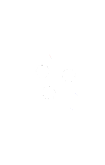 CC(=O)c1cccc(Cl)c1.Fc1ccc(C(c2ccc(F)cc2)C2CNCCN2)cc1